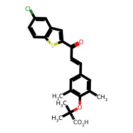 Cc1cc(/C=C/C(=O)c2cc3cc(Cl)ccc3s2)cc(C)c1OC(C)(C)C(=O)O